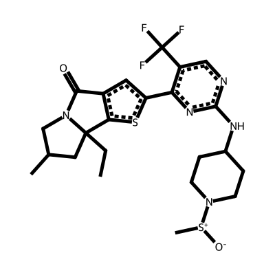 CCC12CC(C)CN1C(=O)c1cc(-c3nc(NC4CCN([S+](C)[O-])CC4)ncc3C(F)(F)F)sc12